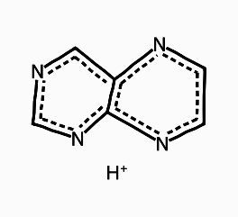 [H+].c1cnc2ncncc2n1